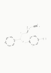 N#C/N=C1/CC(c2ccccc2)Oc2ccc(Br)cc21